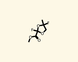 COC(=O)C1(F)OCC(C)(F)O1